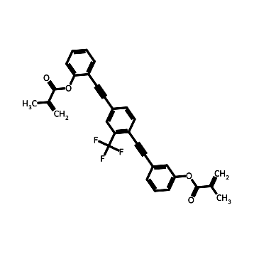 C=C(C)C(=O)Oc1cccc(C#Cc2ccc(C#Cc3ccccc3OC(=O)C(=C)C)cc2C(F)(F)F)c1